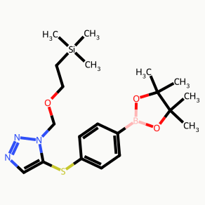 CC1(C)OB(c2ccc(Sc3cnnn3COCC[Si](C)(C)C)cc2)OC1(C)C